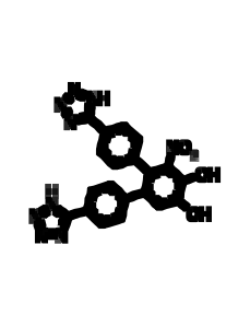 O=[N+]([O-])c1c(O)c(O)cc(-c2ccc(-c3nnn[nH]3)cc2)c1-c1ccc(-c2nnn[nH]2)cc1